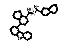 N=C(/N=C(\N)c1ccc(-c2cccc3oc4ccccc4c23)c2ccccc12)c1ccc2ccccc2c1